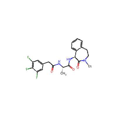 CCN1CCc2ccccc2[C@H](NC(=O)[C@H](C)NC(=O)Cc2cc(F)c(F)c(F)c2)C1=O